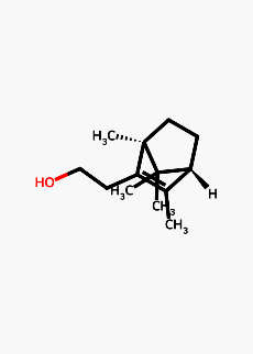 CC1=C(CCO)[C@@]2(C)CC[C@H]1C2(C)C